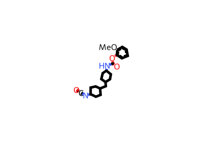 COc1ccccc1OC(=O)NC1CCC(CC2CCC(N=C=O)CC2)CC1